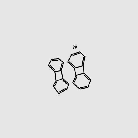 [Ni].c1ccc2c(c1)-c1ccccc1-2.c1ccc2c(c1)-c1ccccc1-2